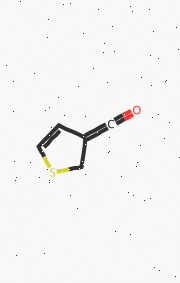 O=C=C1C=CSC1